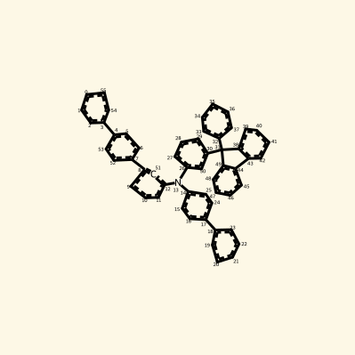 c1ccc(-c2ccc(-c3cccc(N(c4ccc(-c5ccccc5)cc4)c4cccc(C5(c6ccccc6)c6ccccc6-c6ccccc65)c4)c3)cc2)cc1